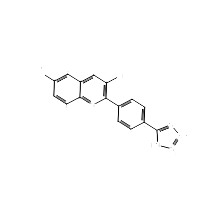 Cc1cc2cc(O)ccc2nc1-c1ccc(-c2nnn[nH]2)cc1